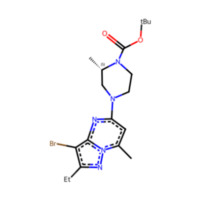 CCc1nn2c(C)cc(N3CCN(C(=O)OC(C)(C)C)[C@@H](C)C3)nc2c1Br